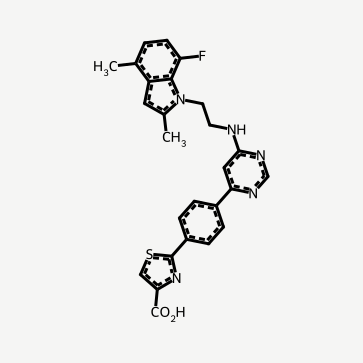 Cc1ccc(F)c2c1cc(C)n2CCNc1cc(-c2ccc(-c3nc(C(=O)O)cs3)cc2)ncn1